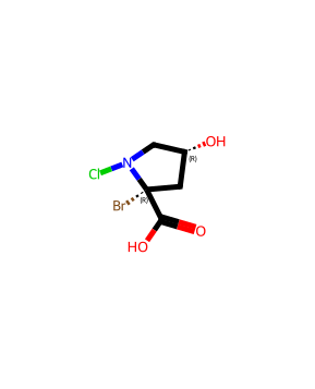 O=C(O)[C@]1(Br)C[C@@H](O)CN1Cl